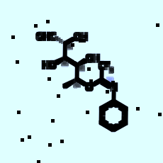 C[C@H](O/C(=N\c1ccccc1)C(F)(F)F)[C@H](O)[C@@H](O)[C@@H](O)C=O